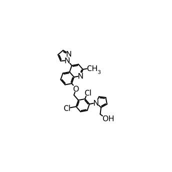 Cc1cc(-n2cccn2)c2cccc(OCc3c(Cl)ccc(-n4cccc4CO)c3Cl)c2n1